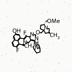 C#Cc1c(F)ccc2cc(O)cc(-c3ncc4c(N5CC6CCC(C5)N6)nc(OCC56CC[C@H](COC)N5CC(=C)C6)nc4c3F)c12